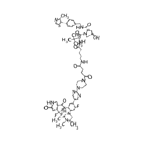 Cc1ncsc1-c1ccc(CNC(=O)[C@@H]2C[C@@H](O)CN2C(=O)C(NC(=O)CCCCNC(=O)CCC(=O)N2CCN(c3ncc(-c4cc(NC(=O)c5c[nH]c(=O)cc5C(F)(F)F)c(N5C[C@@H](C)N(C)[C@@H](C)C5)cc4F)cn3)CC2)C(C)(C)C)cc1